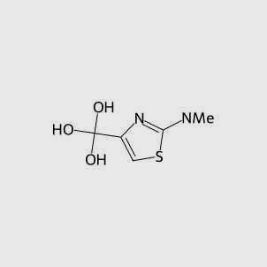 CNc1nc(C(O)(O)O)cs1